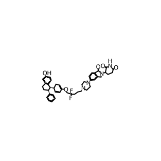 O=C1CCC(N2Cc3cc(N4CCN(CCCC(F)(F)COC5=CCC([C@@H]6c7ccc(O)cc7CC[C@@H]6c6ccccc6)C=C5)CC4)ccc3C2=O)C(=O)N1